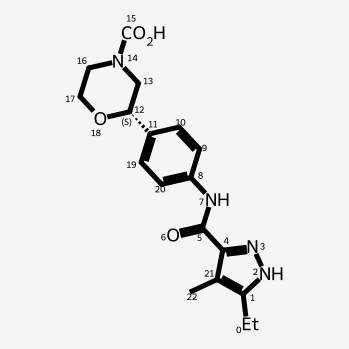 CCc1[nH]nc(C(=O)Nc2ccc([C@H]3CN(C(=O)O)CCO3)cc2)c1C